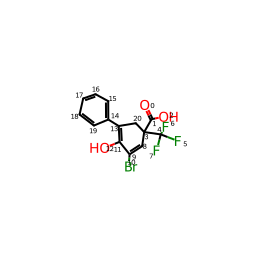 O=C(O)C1(C(F)(F)F)C=C(Br)C(O)=C(c2ccccc2)C1